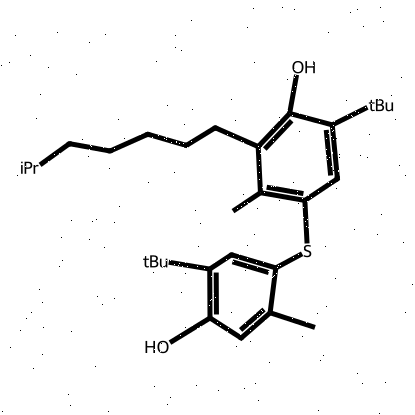 Cc1cc(O)c(C(C)(C)C)cc1Sc1cc(C(C)(C)C)c(O)c(CCCCCC(C)C)c1C